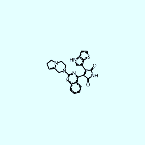 O=C1NC(=O)C(c2c[nH]c3ccsc23)=C1c1nc(N2CCN3CCC=C3C2)nc2ccccc12